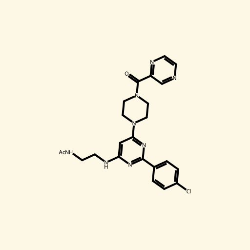 CC(=O)NCCNc1cc(N2CCN(C(=O)c3cnccn3)CC2)nc(-c2ccc(Cl)cc2)n1